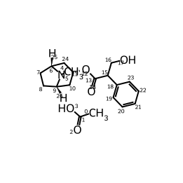 CC(=O)O.CN1[C@@H]2CC[C@H]1C[C@@H](OC(=O)C(CO)c1ccccc1)C2